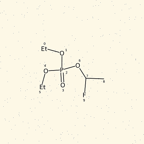 CCOP(=O)(OCC)OC(C)F